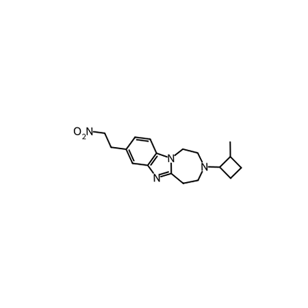 CC1CCC1N1CCc2nc3cc(CC[N+](=O)[O-])ccc3n2CC1